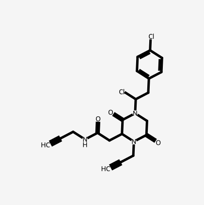 C#CCNC(=O)CC1C(=O)N(C(Cl)Cc2ccc(Cl)cc2)CC(=O)N1CC#C